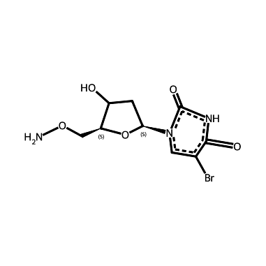 NOC[C@@H]1O[C@H](n2cc(Br)c(=O)[nH]c2=O)CC1O